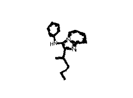 CCCC(C)c1nc2ccccn2c1Nc1ccccc1